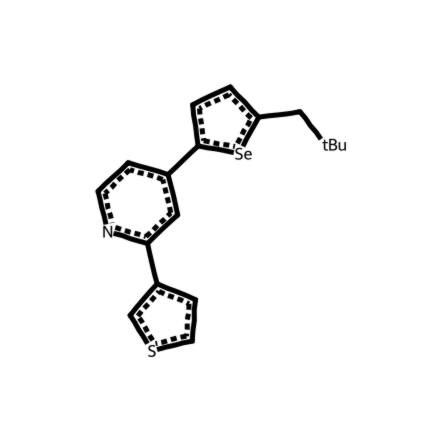 CC(C)(C)Cc1ccc(-c2ccnc(-c3ccsc3)c2)[se]1